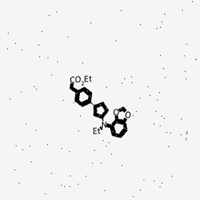 CCOC(=O)Cc1ccc([C@@H]2CC[C@H](N(CC)c3cccc4c3OCO4)C2)cc1